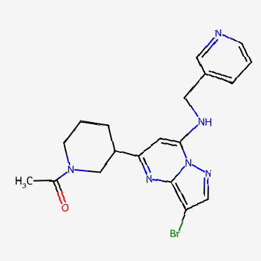 CC(=O)N1CCCC(c2cc(NCc3cccnc3)n3ncc(Br)c3n2)C1